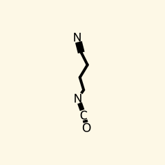 N#CCCCN=C=O